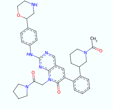 CC(=O)N1CCCC(c2ccccc2-c2cc3cnc(Nc4ccc(C5CNCCO5)cc4)nc3n(CC(=O)N3CCCC3)c2=O)C1